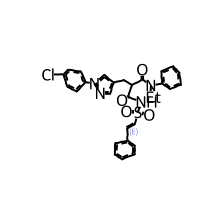 CCN(C(=O)C(Cc1cnn(-c2ccc(Cl)cc2)c1)C(=O)NS(=O)(=O)/C=C/c1ccccc1)c1ccccc1